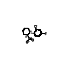 O=[N+]([O-])[C@H]1CC=CC[C@@H]1c1ccc(F)cc1Cl